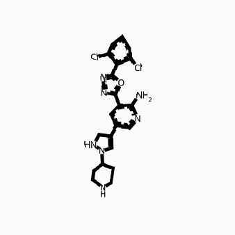 Nc1ncc(C2=CN(C3CCNCC3)NC2)cc1-c1nnc(-c2c(Cl)cccc2Cl)o1